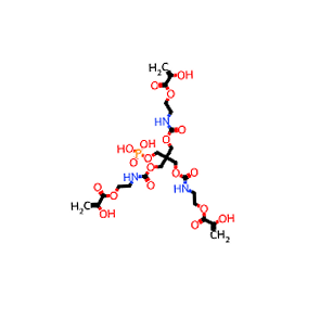 C=C(O)C(=O)OCCNC(=O)OCC(COC(=O)NCCOC(=O)C(=C)O)(COC(=O)NCCOC(=O)C(=C)O)COP(=O)(O)O